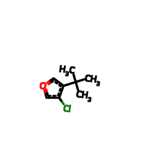 CC(C)(C)c1cocc1Cl